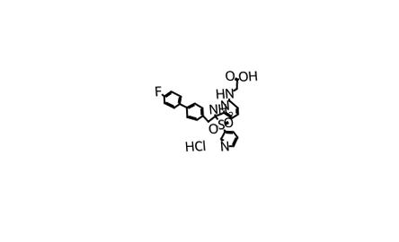 Cl.NC(Cc1ccc(-c2ccc(F)cc2)cc1)(c1cccc(NCC(=O)O)n1)S(=O)(=O)c1cccnc1